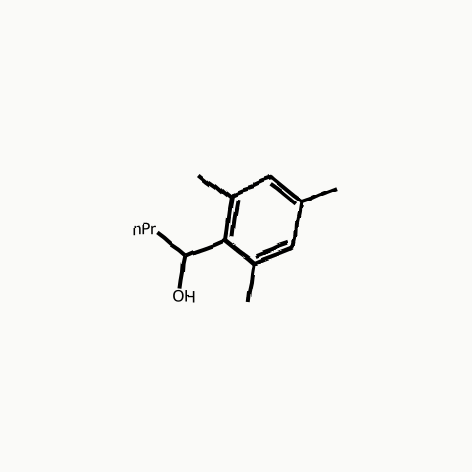 CCCC(O)c1c(C)cc(C)cc1C